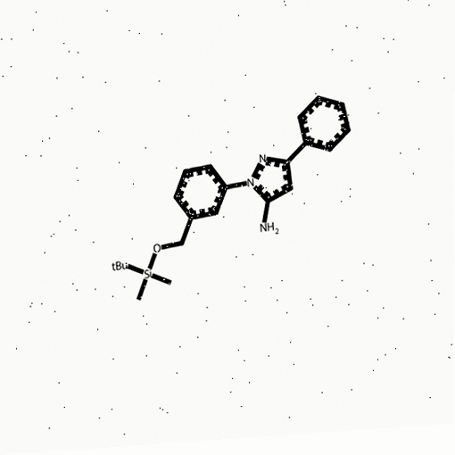 CC(C)(C)[Si](C)(C)OCc1cccc(-n2nc(-c3ccccc3)cc2N)c1